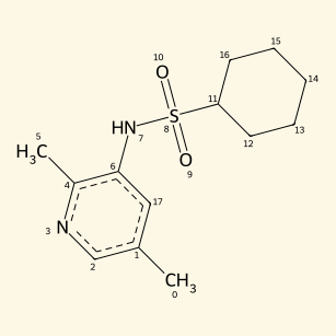 Cc1cnc(C)c(NS(=O)(=O)C2CCCCC2)c1